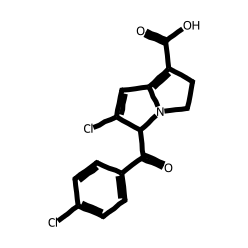 O=C(O)C1=C2C=C(Cl)C(C(=O)c3ccc(Cl)cc3)N2CC1